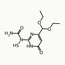 CCOC(OCC)c1cc(=O)[nH]c(N(S)C(N)=O)n1